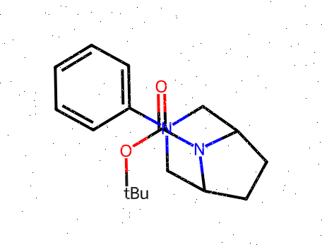 CC(C)(C)OC(=O)N1C2CCC1CN(c1ccccc1)C2